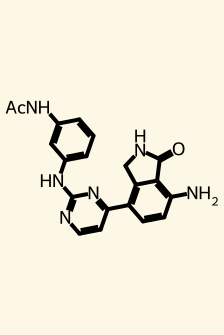 CC(=O)Nc1cccc(Nc2nccc(-c3ccc(N)c4c3CNC4=O)n2)c1